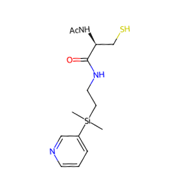 CC(=O)N[C@@H](CS)C(=O)NCC[Si](C)(C)c1cccnc1